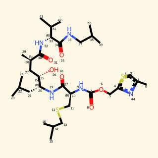 Cc1csc(COC(=O)N[C@@H](CSCC(C)C)C(=O)N[C@H](CC(C)C)[C@@H](O)C[C@@H](C)C(=O)N[C@@H](C(=O)NCC(C)C)C(C)C)n1